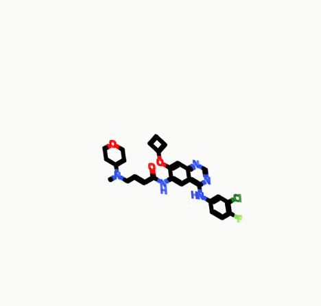 CN(CC=CC(=O)Nc1cc2c(Nc3ccc(F)c(Cl)c3)ncnc2cc1OC1CCC1)C1CCOCC1